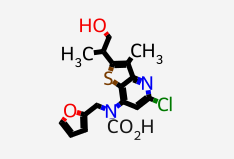 Cc1c(C(C)CO)sc2c(N(Cc3ccco3)C(=O)O)cc(Cl)nc12